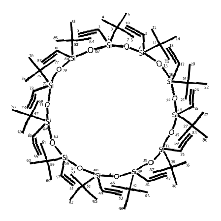 C=C[Si]1(C(C)(C)C)O[Si](C=C)(C(C)(C)C)O[Si](C=C)(C(C)(C)C)O[Si](C=C)(C(C)(C)C)O[Si](C=C)(C(C)(C)C)O[Si](C=C)(C(C)(C)C)O[Si](C=C)(C(C)(C)C)O[Si](C=C)(C(C)(C)C)O[Si](C=C)(C(C)(C)C)O[Si](C=C)(C(C)(C)C)O[Si](C=C)(C(C)(C)C)O1